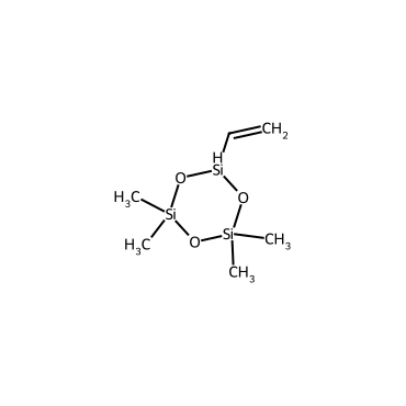 C=C[SiH]1O[Si](C)(C)O[Si](C)(C)O1